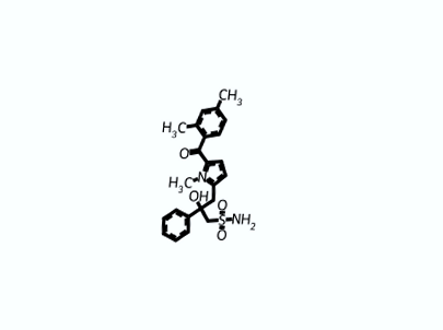 Cc1ccc(C(=O)c2ccc(CC(O)(CS(N)(=O)=O)c3ccccc3)n2C)c(C)c1